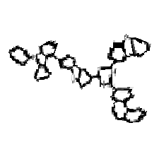 c1ccc(-n2c3ccccc3c3c(-c4ccc5c(c4)oc4ccc(-c6nc(-c7ccc8c(ccc9ccccc98)c7)nc(-c7ccc8oc9ccccc9c8c7)n6)cc45)cccc32)cc1